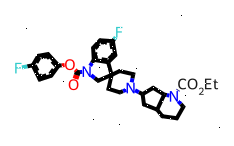 CCOC(=O)N1CCCC2CC(N3CCC4(CC3)CN(C(=O)Oc3ccc(F)cc3)c3ccc(F)cc34)CC21